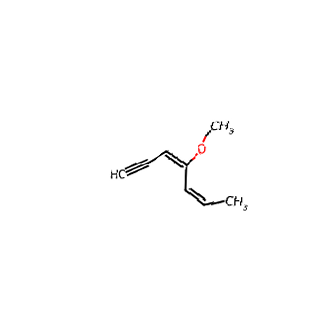 C#C/C=C(\C=C/C)OC